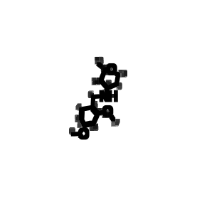 COc1ccc(CNC2CCO[C@H](C)C2)c(OC)c1